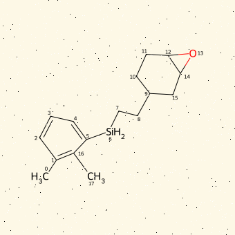 Cc1cccc([SiH2]CCC2CCC3OC3C2)c1C